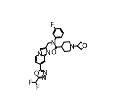 O=C(C1CCN(C2COC2)CC1)N(Cc1cn2ccc(-c3nnc(C(F)F)o3)cc2n1)c1cccc(F)c1